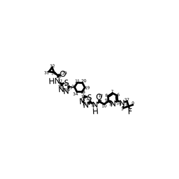 CC1(F)CN(c2cccc(CC(=O)Nc3nnc([C@H]4CCC[C@H](c5nnc(NC(=O)C6CC6)s5)C4)s3)n2)C1